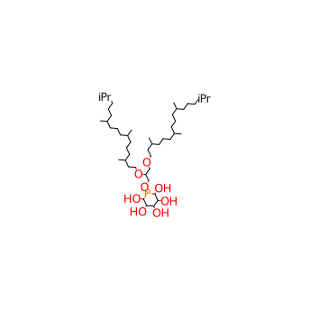 CC(C)CCCC(C)CCCC(C)CCCC(C)CCOCC(COP1C(O)C(O)C(O)C(O)C1O)OCCC(C)CCCC(C)CCCC(C)CCCC(C)C